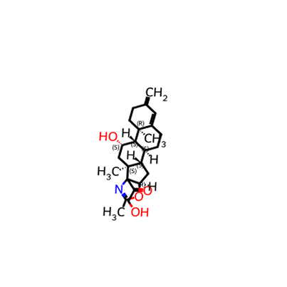 C=C1C=C2CC[C@@H]3[C@H]([C@@H](O)C[C@@]4(C)[C@H]3C[C@H]3OC(C)=NC34C(=O)CO)[C@@]2(C)CC1